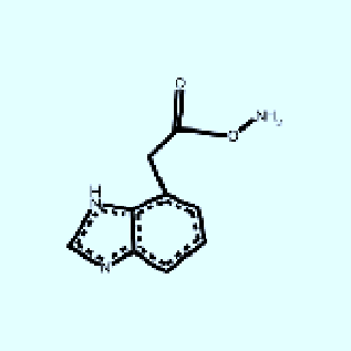 NOC(=O)Cc1cccc2nc[nH]c12